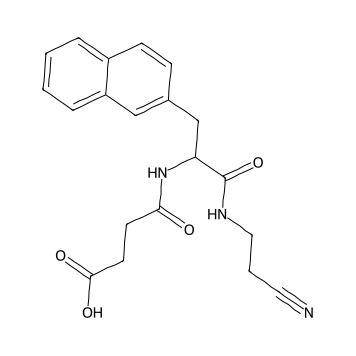 N#CCCNC(=O)C(Cc1ccc2ccccc2c1)NC(=O)CCC(=O)O